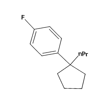 CCCC1(c2ccc(F)cc2)CCCC1